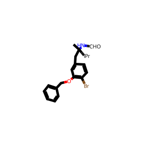 CC(C)C(C)(Cc1ccc(Br)c(OCc2ccccc2)c1)NC=O